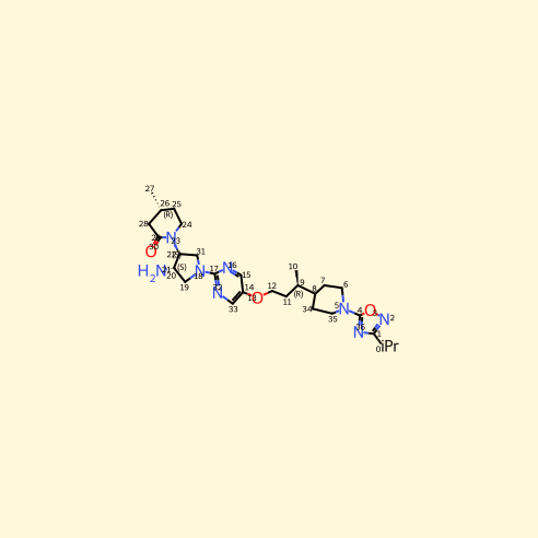 CC(C)c1noc(N2CCC([C@H](C)CCOc3cnc(N4C[C@H](N)[C@@H](N5CC[C@@H](C)CC5=O)C4)nc3)CC2)n1